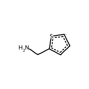 NCc1cc[c]s1